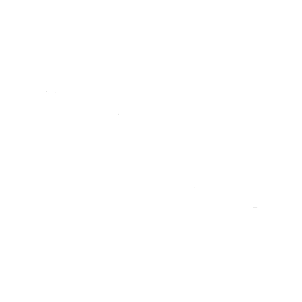 FCCCCC[CH2][Sb]